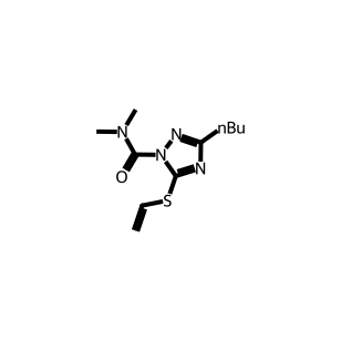 C=CSc1nc(CCCC)nn1C(=O)N(C)C